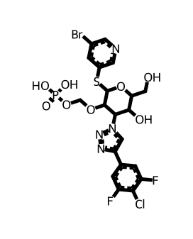 O=P(O)(O)OCOC1C(Sc2cncc(Br)c2)OC(CO)C(O)C1n1cc(-c2cc(F)c(Cl)c(F)c2)nn1